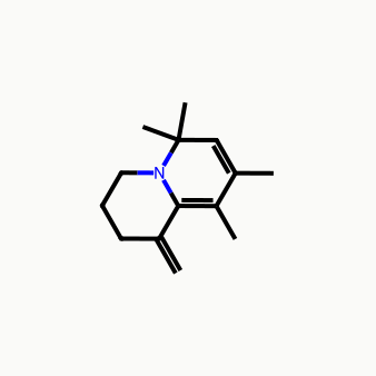 C=C1CCCN2C1=C(C)C(C)=CC2(C)C